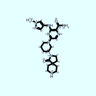 Cn1cc(Nc2nc(N3CCC[C@@H](N4CCC5(CCNCC5)C4=O)C3)cnc2C(N)=O)cn1